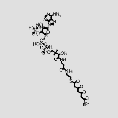 CCCC(=O)CC(=O)CC(=O)CC(=O)SCCNC(=O)CCNC(=O)C(O)C(C)(C)COP(=O)(O)OP(=O)(O)OC[C@H]1O[C@@H](n2cnc3c(N)ncnc32)[C@H](O)[C@@H]1OP(=O)(O)O